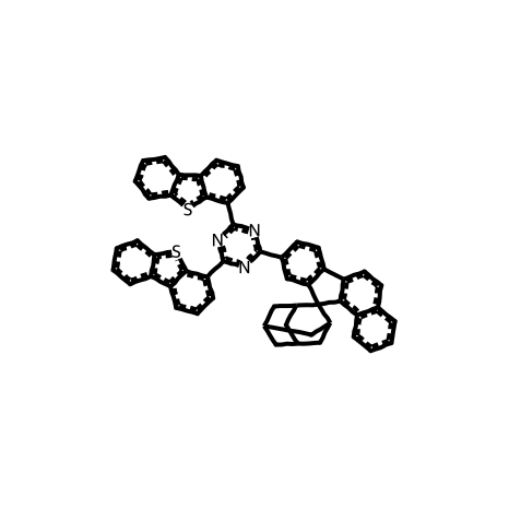 c1ccc2c3c(ccc2c1)-c1ccc(-c2nc(-c4cccc5c4sc4ccccc45)nc(-c4cccc5c4sc4ccccc45)n2)cc1C31C2CC3CC(C2)CC1C3